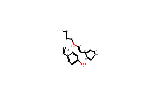 C=Cc1ccc(O)cc1.CCCCOC=Cc1ccccc1